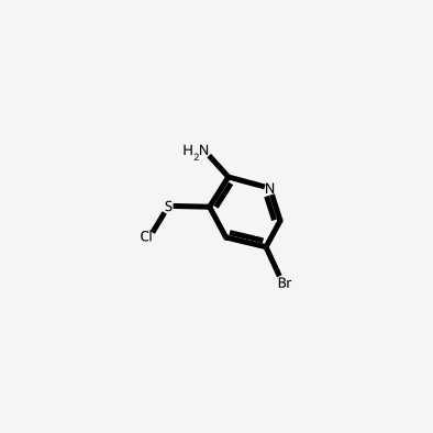 Nc1ncc(Br)cc1SCl